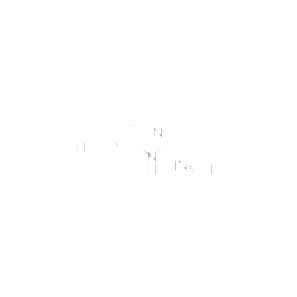 CNCc1nc2ccc(C)cc2[nH]1